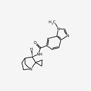 Cn1cnc2ccc(C(=O)N[C@H]3C4CCN(CC4)C34CC4)cc21